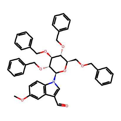 COc1ccc2c(c1)c(C=O)cn2[C@@H]1O[C@H](COCc2ccccc2)[C@@H](OCc2ccccc2)[C@H](OCc2ccccc2)[C@H]1OCc1ccccc1